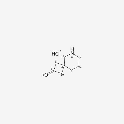 Cl.O=C1CC2(CCCNC2)C1